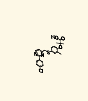 Cc1cc(SCc2ccnc(-c3ccc(Cl)cc3)n2)ccc1OC(C)(C)C(=O)O